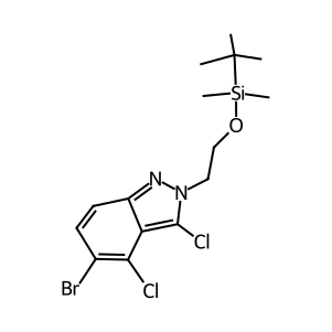 CC(C)(C)[Si](C)(C)OCCn1nc2ccc(Br)c(Cl)c2c1Cl